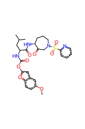 COc1ccc2oc(OC(=O)NC(CC(C)C)C(=O)N[C@H]3CCCN(S(=O)(=O)c4ccccn4)CC3=O)cc2c1